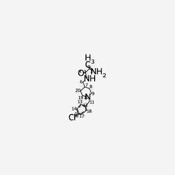 CC(N)C(=O)NCC1CCN(Cc2ccc(Cl)cc2)CC1